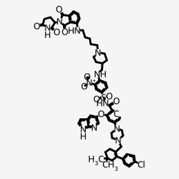 CC1(C)CCC(CN2CCN(c3ccc(C(=O)NS(=O)(=O)c4ccc(NCC5CCN(CCCCCNc6cccc7c6C(=O)N(C6CCC(=O)NC6=O)C7=O)CC5)c([N+](=O)[O-])c4)c(Oc4cnc5[nH]ccc5c4)c3)CC2)=C(c2ccc(Cl)cc2)C1